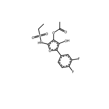 CCS(=O)(=O)Nc1oc(-c2ccc(F)c(F)c2)c(O)c1OC(C)=O